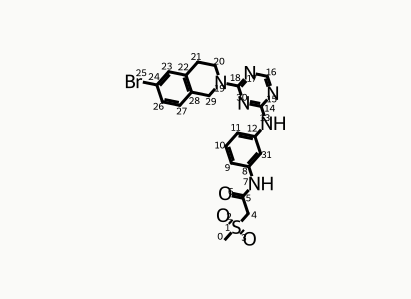 CS(=O)(=O)CC(=O)Nc1cccc(Nc2ncnc(N3CCc4cc(Br)ccc4C3)n2)c1